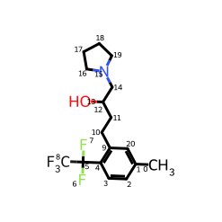 Cc1ccc(C(F)(F)C(F)(F)F)c(CCC(O)CN2CCCC2)c1